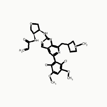 C=CC(=O)N[C@H]1COC[C@H]1Nc1ncc2cc(-c3c(Cl)c(OC)cc(OC)c3Cl)nc(CC3CCN(C)C3)c2n1